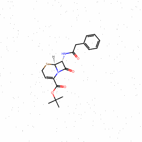 CC(C)(C)OC(=O)C1=CCS[C@H]2[C@H](NC(=O)Cc3ccccc3)C(=O)N12